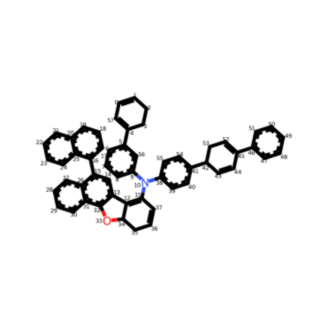 C1=CCCC(c2cccc(N(C3=C4c5cc(-c6cccc7ccccc67)c6ccccc6c5OC4CC=C3)c3ccc(C4C=CC(c5ccccc5)=CC4)cc3)c2)=C1